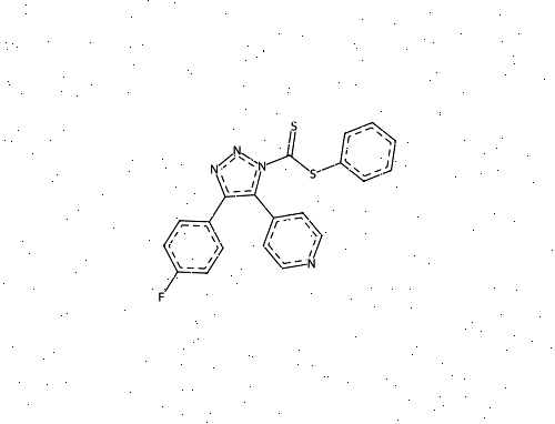 Fc1ccc(-c2nnn(C(=S)Sc3ccccc3)c2-c2ccncc2)cc1